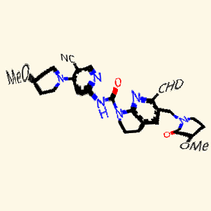 COC1CCN(c2cc(NC(=O)N3CCCc4cc(CN5CCC(OC)C5=O)c(C=O)nc43)ncc2C#N)C1